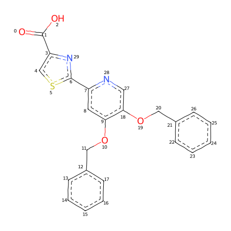 O=C(O)c1csc(-c2cc(OCc3ccccc3)c(OCc3ccccc3)cn2)n1